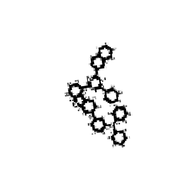 C1=CC(c2nc(-c3ccc4ccccc4c3)nc(-c3cccc4oc5cc(-c6cccc(N(c7ccccc7)c7ccccc7)c6)ccc5c34)n2)=CCC1